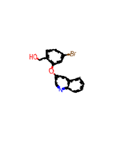 OCc1ccc(Br)cc1Oc1cnc2ccccc2c1